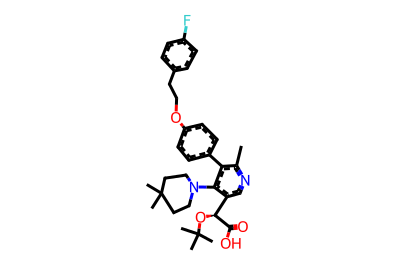 Cc1ncc([C@H](OC(C)(C)C)C(=O)O)c(N2CCC(C)(C)CC2)c1-c1ccc(OCCc2ccc(F)cc2)cc1